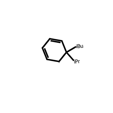 CCC(C)C1(C(C)C)[CH]C=CC=C1